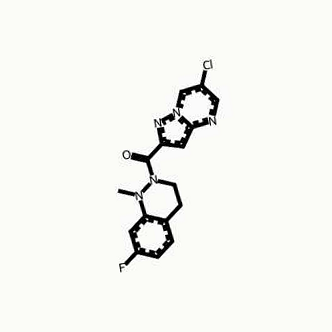 CN1c2cc(F)ccc2CCN1C(=O)c1cc2ncc(Cl)cn2n1